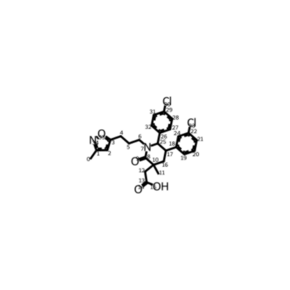 Cc1cc(CCCN2C(=O)C(C)(CC(=O)O)CC(c3cccc(Cl)c3)C2c2ccc(Cl)cc2)on1